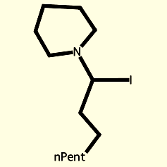 CCCCCCCC(I)N1CCCCC1